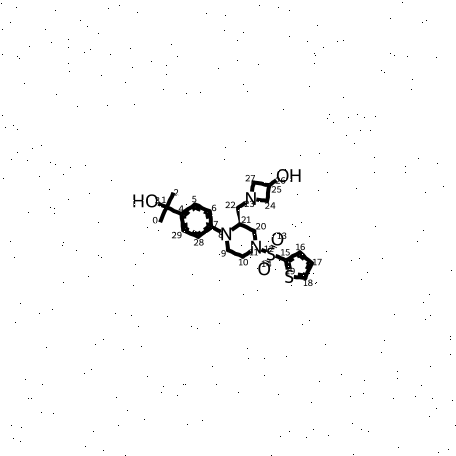 CC(C)(O)c1ccc(N2CCN(S(=O)(=O)c3cccs3)C[C@@H]2CN2CC(O)C2)cc1